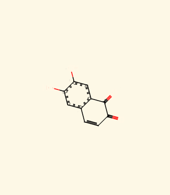 O=C1C=Cc2cc(O)c(O)cc2C1=O